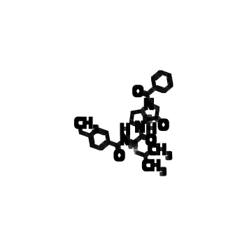 CCc1ccc(C(=O)N[C@@H](CC(C)C)C(=O)N2CCC3[C@H]2C(=O)CN3C(=O)c2ccccc2)cc1